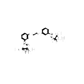 CC1(C)OB(c2cccc(OCCOc3cccc(B4OC(C)(C)C(C)(C)O4)c3)c2)OC1(C)C